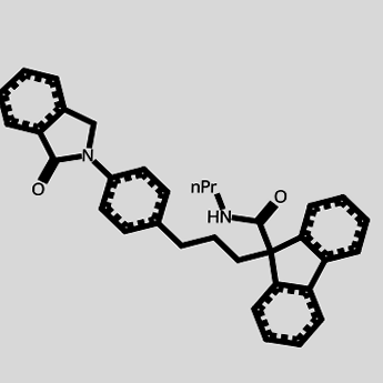 CCCNC(=O)C1(CCCc2ccc(N3Cc4ccccc4C3=O)cc2)c2ccccc2-c2ccccc21